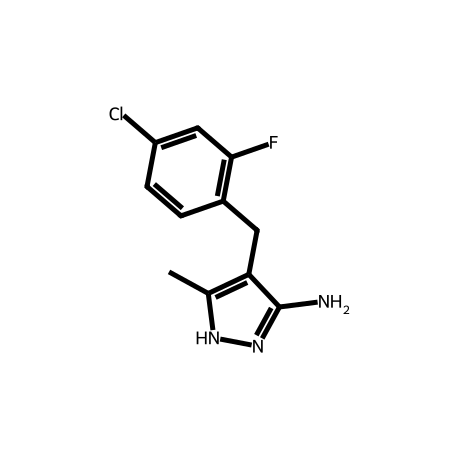 Cc1[nH]nc(N)c1Cc1ccc(Cl)cc1F